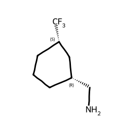 NC[C@@H]1CCC[C@H](C(F)(F)F)C1